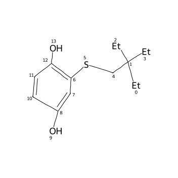 CCC(CC)(CC)CSc1cc(O)ccc1O